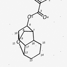 C=C(C)C(=O)OC1C2CC3C1OC1CCCC2C13